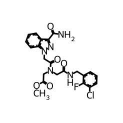 COC(=O)CN(CC(=O)NCc1cccc(Cl)c1F)C(=O)Cn1nc(C(N)=O)c2ccccc21